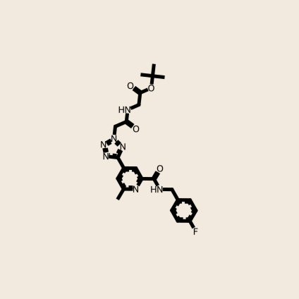 Cc1cc(-c2nnn(CC(=O)NCC(=O)OC(C)(C)C)n2)cc(C(=O)NCc2ccc(F)cc2)n1